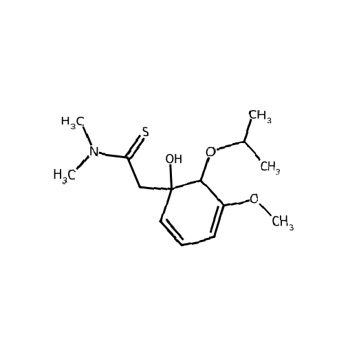 COC1=CC=CC(O)(CC(=S)N(C)C)C1OC(C)C